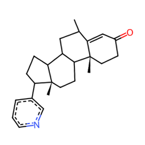 CC1CC2C3CCC(c4cccnc4)[C@@]3(C)CCC2[C@@]2(C)CCC(=O)C=C12